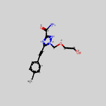 Cc1ccc(C#Cc2nc(C(N)=O)nn2COCCO)cc1